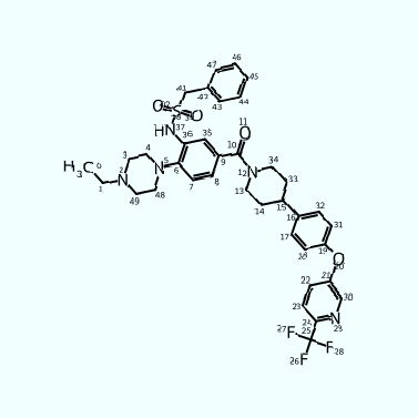 CCN1CCN(c2ccc(C(=O)N3CCC(c4ccc(Oc5ccc(C(F)(F)F)nc5)cc4)CC3)cc2NS(=O)(=O)Cc2ccccc2)CC1